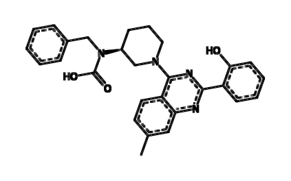 Cc1ccc2c(N3CCC[C@H](N(Cc4ccccc4)C(=O)O)C3)nc(-c3ccccc3O)nc2c1